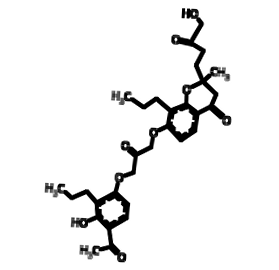 CCCc1c(OCC(=O)COc2ccc3c(c2CCC)OC(C)(CCC(=O)CO)CC3=O)ccc(C(C)=O)c1O